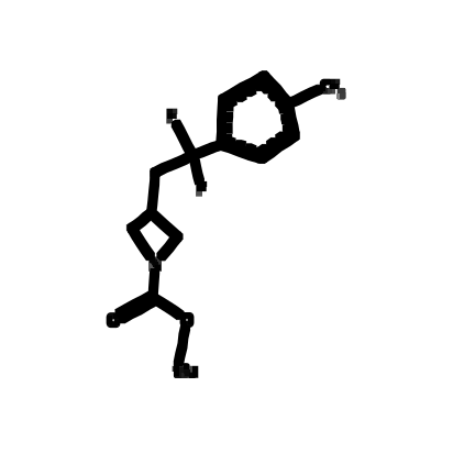 CC(C)(C)OC(=O)N1CC(CC(F)(F)c2ccc(C(F)(F)F)cc2)C1